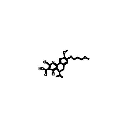 COCCCOc1cc2c(cc1OC)-c1nc(Cl)c(C(=O)O)c(Cl)c1C(C(C)C)C2